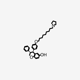 Oc1ccc2c(c1)[C@H](c1ccc(OCCCCCCCCCN3CCCC3)cc1)[C@H](c1ccccc1)CO2